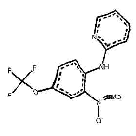 O=[N+]([O-])c1cc(OC(F)(F)F)ccc1Nc1ccccn1